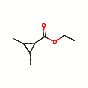 CCOC(=O)C1C(C)C1C